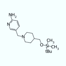 CC(C)(C)[Si](C)(C)OCC1CCN(Cc2ccc(N)nc2)CC1